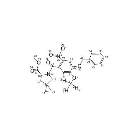 [2H]C([2H])([2H])Oc1cc(C(=O)N2CC3(CC3)C[C@H]2C(=O)OC)c([N+](=O)[O-])cc1OCc1ccccc1